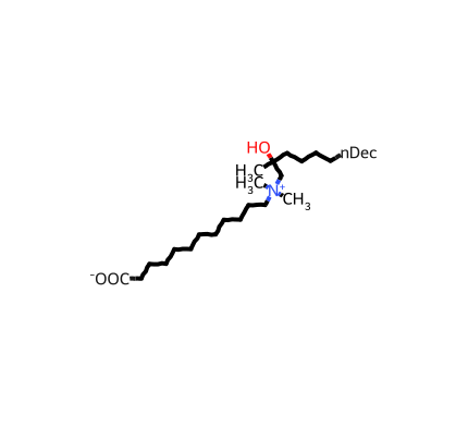 CCCCCCCCCCCCCCC(C)(O)C[N+](C)(C)CCCCCCCCCCCC(=O)[O-]